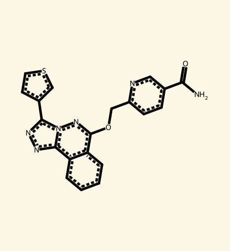 NC(=O)c1ccc(COc2nn3c(-c4ccsc4)nnc3c3ccccc23)nc1